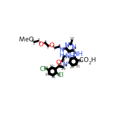 COCCOCCOCCNc1nc(C)nc(Nc2ccccc2C(=O)O)c1NCc1ncc(-c2cc(Cl)ccc2Cl)o1